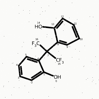 Oc1ccccc1C(c1ccccc1O)(C(F)(F)F)C(F)(F)F